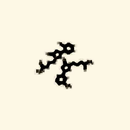 Cc1cccc(C2CC(=O)N(CCCC(N)=O)C2)c1.NC(=O)CCCN1CC(c2ccccc2F)CC1=O